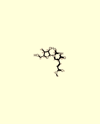 COC(=O)C=Cc1cn([C@H]2O[C@@H](CO)C(I)C2O)c(=O)[nH]c1=O